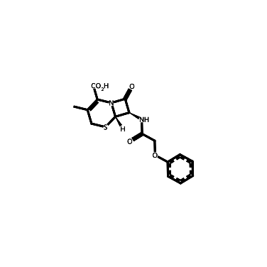 CC1=C(C(=O)O)N2C(=O)[C@@H](NC(=O)COc3ccccc3)[C@@H]2SC1